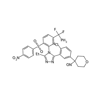 CCc1nnc(-c2cc(C3(N=O)CCOCC3)ccc2Cl)n1-c1nc(C(F)(F)P)ccc1S(=O)(=O)c1ccc([N+](=O)[O-])cc1